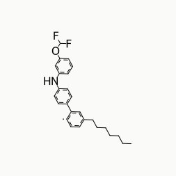 CCCCCCCc1cc[c]c(-c2ccc(Nc3cccc(OC(F)F)c3)cc2)c1